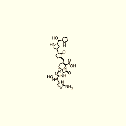 Nc1nc(/C(=N/O)C(=O)N[C@@H]2C(=O)N3C(C(=O)O)=C(/C=C4\CCN(C5CNC(C(O)C6CCCN6)C5)C4=O)CS[C@H]23)ns1